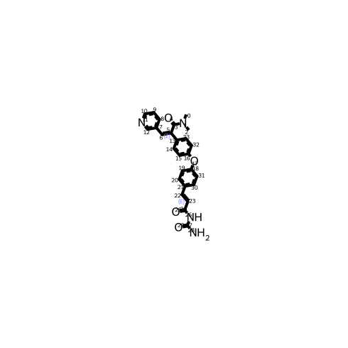 CN(C)C(=O)/C(=C\c1cccnc1)c1ccc(Oc2ccc(/C=C/C(=O)NC(N)=O)cc2)cc1